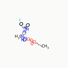 CCCCCCOC(=O)OCOc1ccnc(N(C)C2CCN(c3nc4ccccc4n3Cc3ccc(F)cc3)CC2)n1